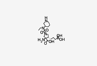 CCN([C@@H]1CCCNC1)S(=O)(=O)N1C[C@H](CCCB(O)O)[C@](N)(C(=O)O)C1